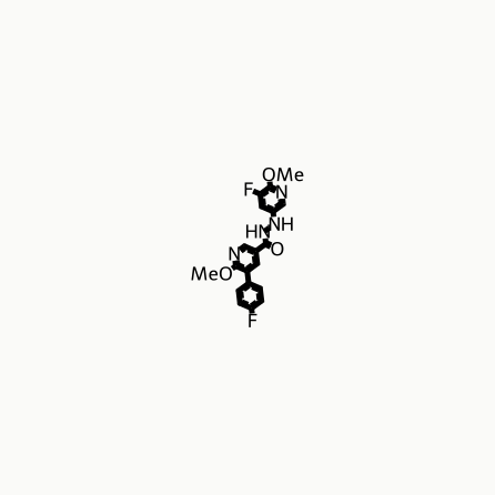 COc1ncc(NNC(=O)c2cnc(OC)c(-c3ccc(F)cc3)c2)cc1F